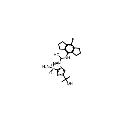 CC(C)(O)c1csc([SH](N)(=O)/N=N/C(O)Nc2c3c(c(F)c4c2CCC4)CCC3)n1